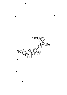 COc1ccccc1CN(CCc1ccc(NC(=O)Nc2cnc(C#N)cn2)cc1Cl)C(=O)OC(C)(C)C.Cl